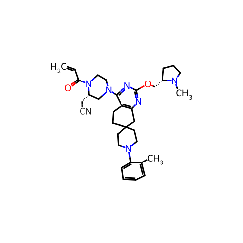 C=CC(=O)N1CCN(c2nc(OC[C@@H]3CCCN3C)nc3c2CCC2(CCN(c4ccccc4C)CC2)C3)C[C@@H]1CC#N